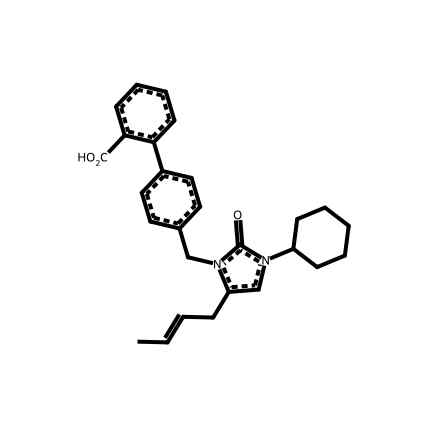 CC=CCc1cn(C2CCCCC2)c(=O)n1Cc1ccc(-c2ccccc2C(=O)O)cc1